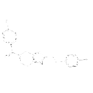 O=C(c1ccc(F)cc1)N1CCn2nc(COc3ccc(F)cc3)cc2C1